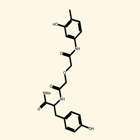 CNC(=O)C(Cc1ccc(O)cc1)NC(=O)COCC(=O)Nc1ccc(C)c(O)c1